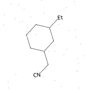 [C-]#[N+]CC1CCCC(CC)C1